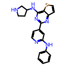 c1ccc(Nc2cc(-c3nc(NC4CCNC4)c4sccc4n3)ccn2)cc1